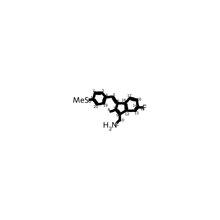 CSc1ccc(C=C2C(C)=C(CN)c3cc(F)ccc32)cc1